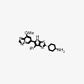 COc1cc(-c2[nH]c3sc([C@H]4CC[C@H](N)CC4)nc3c2C(C)C)cn2ncnc12